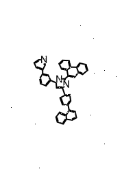 c1cncc(-c2cccc(-c3cc(-c4ccc(-c5cccc6ccccc56)cc4)nc(-c4cc5ccccc5c5ccccc45)n3)c2)c1